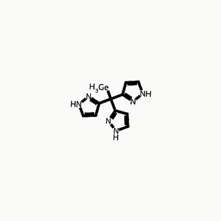 [GeH3][C](c1cc[nH]n1)(c1cc[nH]n1)c1cc[nH]n1